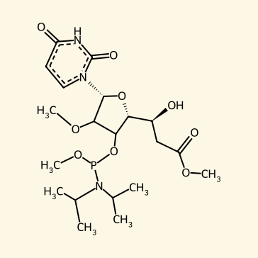 COC(=O)C[C@H](O)[C@H]1O[C@@H](n2ccc(=O)[nH]c2=O)C(OC)C1OP(OC)N(C(C)C)C(C)C